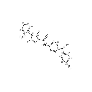 Cc1cc(C(=O)Nc2ccc(C(=O)c3ccc(F)cc3)cc2)c(C)n1-c1ccccc1C(F)(F)F